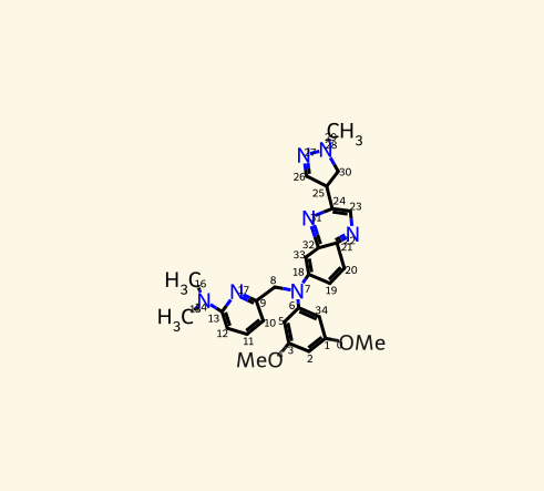 COc1cc(OC)cc(N(Cc2cccc(N(C)C)n2)c2ccc3ncc(C4C=NN(C)C4)nc3c2)c1